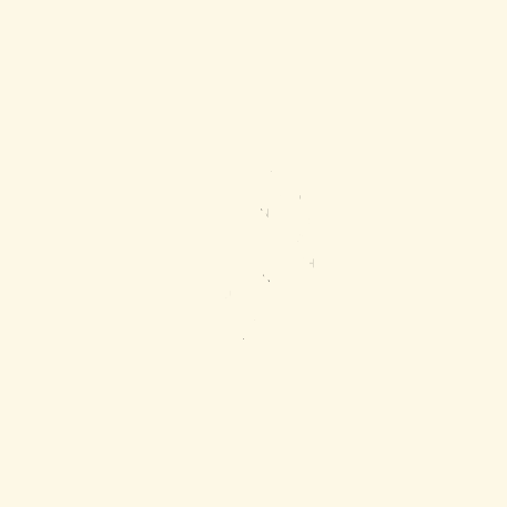 CN(Cc1ccccc1CN(CC(=O)O)C(=O)C(C)(C)C)C(=O)OC(C)(C)C